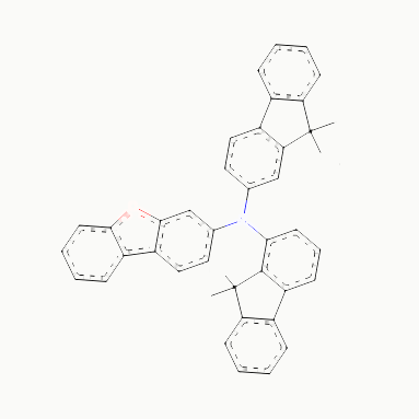 CC1(C)c2ccccc2-c2ccc(N(c3ccc4c(c3)oc3ccccc34)c3cccc4c3C(C)(C)c3ccccc3-4)cc21